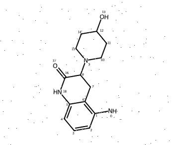 [NH]c1cccc2c1CC(N1CCC(O)CC1)C(=O)N2